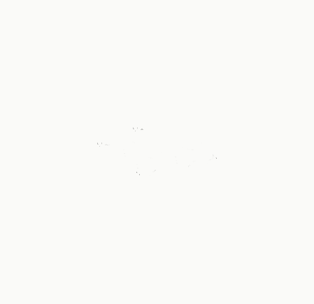 COc1cc2nccc(Oc3cc4ccncc4cc3C)c2cc1OC